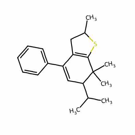 CC1CC2=C(S1)C(C)(C)C(C(C)C)C=C2c1ccccc1